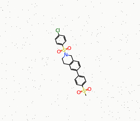 CS(=O)(=O)c1ccc(-c2ccc3c(c2)CCN(S(=O)(=O)c2ccc(Cl)cc2)C3)cc1